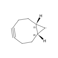 C1#CCC[C@@H]2[CH][C@@H]2CC1